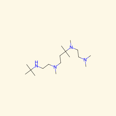 CN(C)CCN(C)C(C)(C)CCN(C)CCNC(C)(C)C